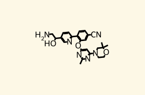 Cc1nc(Oc2cc(C#N)ccc2-c2ccc(C(O)CN)cn2)cc(N2CCOC(C)(C)C2)n1